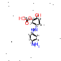 Nc1ccc(N=Nc2ccc(O)c(OC(=O)O)c2)cc1